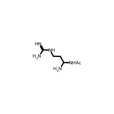 CC(=O)NC(N)CCNC(=N)N